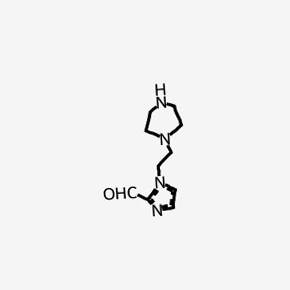 O=Cc1nccn1CCN1CCNCC1